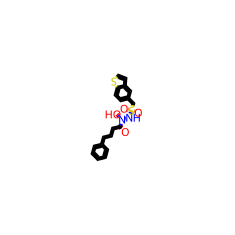 O=C(CCCc1ccccc1)N(O)NS(=O)(=O)Cc1ccc2sccc2c1